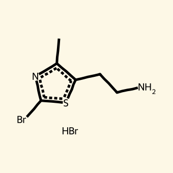 Br.Cc1nc(Br)sc1CCN